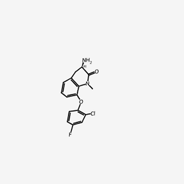 CN1C(=O)[C@H](N)Cc2cccc(Oc3ccc(F)cc3Cl)c21